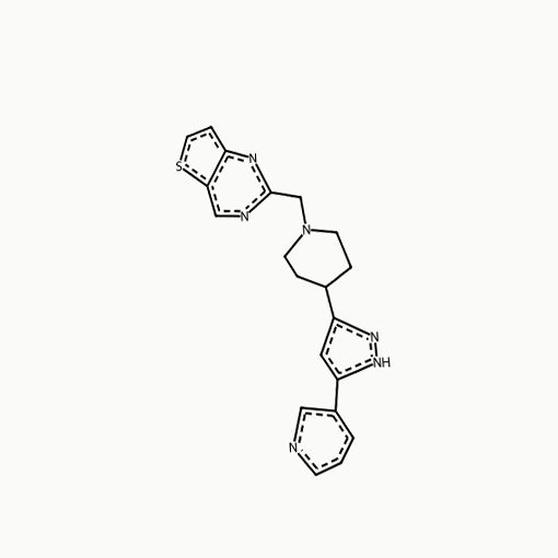 c1cncc(-c2cc(C3CCN(Cc4ncc5sccc5n4)CC3)n[nH]2)c1